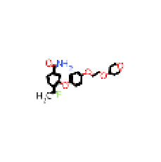 C=C(F)c1ccc(C(N)=O)cc1Oc1ccc(OCCOC2CCOCC2)cc1